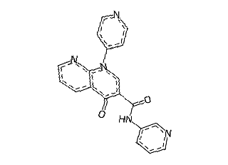 O=C(Nc1cccnc1)c1cn(-c2ccncc2)c2ncccc2c1=O